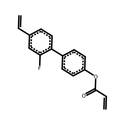 C=CC(=O)Oc1ccc(-c2ccc(C=C)cc2F)cc1